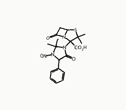 CC1(C)N(N=O)C(c2ccccc2)C(=O)N1C1(C(=O)O)N2C(=O)CC2SC1(C)C